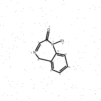 CCN1C(=O)C=NCc2ccccc21